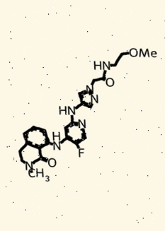 COCCNC(=O)Cn1cc(Nc2cc(Nc3cccc4c3C(=O)N(C)CC4)c(F)cn2)cn1